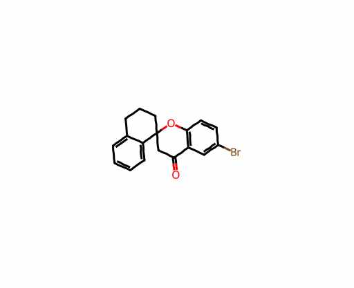 O=C1CC2(CCCc3ccccc32)Oc2ccc(Br)cc21